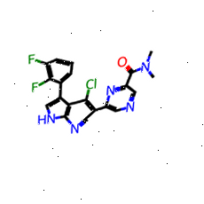 CN(C)C(=O)c1cncc(-c2cnc3[nH]cc(-c4cccc(F)c4F)c3c2Cl)n1